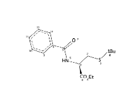 CCOC(=O)[C@H](CSC(C)(C)C)NC(=O)c1ccccc1